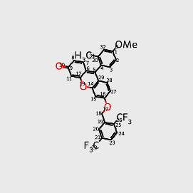 COc1ccc(-c2c3ccc(=O)cc-3oc3cc(OCc4cc(C(F)(F)F)ccc4C(F)(F)F)ccc23)c(C)c1